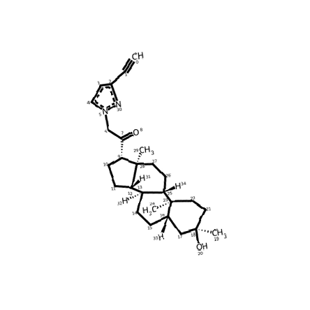 C#Cc1ccn(CC(=O)[C@H]2CC[C@H]3[C@@H]4CC[C@H]5C[C@](C)(O)CC[C@]5(C)[C@H]4CC[C@]23C)n1